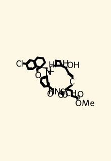 COC(=O)CC[C@]1(C)CC/C=C/[C@H](O)[C@@H]2CC[C@H]2CN2C[C@@]3(CCCc4cc(Cl)ccc43)COc3ccc(cc32)C(=O)NS1(=O)=O